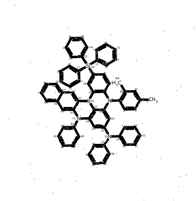 Cc1ccc(N2c3ccc([Si](c4ccccc4)(c4ccccc4)c4ccccc4)cc3B3c4cc5ccccc5cc4N(c4ccccc4)c4cc(N(c5ccccc5)c5ccccc5)cc2c43)c(C)c1